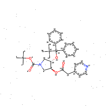 CC(C)(C)OC(=O)N1C[C@H](OC(=O)Cc2ccncc2)[C@@H](O[Si](c2ccccc2)(c2ccccc2)C(C)(C)C)C1